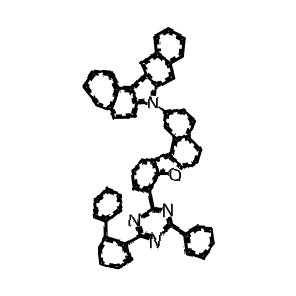 c1ccc(-c2nc(-c3ccccc3-c3ccccc3)nc(-c3cccc4c3oc3ccc5ccc(-n6c7cc8ccccc8cc7c7c8ccccc8ccc76)cc5c34)n2)cc1